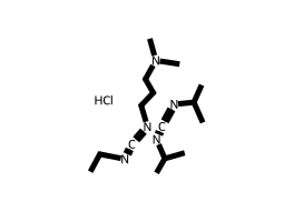 CC(C)N=C=NC(C)C.CCN=C=NCCCN(C)C.Cl